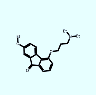 CCOc1ccc2c(c1)C(=O)c1cccc(OCCCN(CC)CC)c1-2